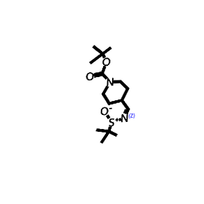 CC(C)(C)OC(=O)N1CCC(/C=N\[S+]([O-])C(C)(C)C)CC1